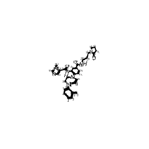 Cc1ccccc1N1CCN(c2ccc(C(=O)NCCCN3CCCC3=O)cc2NC(=O)c2cncn2C)CC1